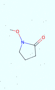 CON1CCCC1=O